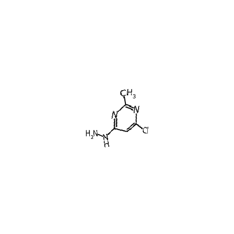 Cc1nc(Cl)cc(NN)n1